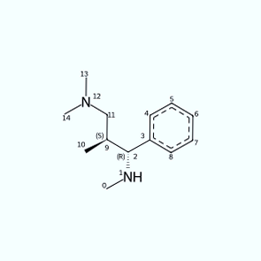 CN[C@@H](c1ccccc1)[C@@H](C)CN(C)C